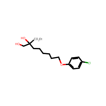 CCOC(=O)C(O)(CO)CCCCCCOc1ccc(Cl)cc1